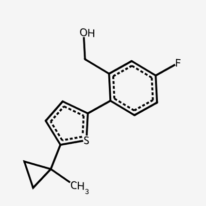 CC1(c2ccc(-c3ccc(F)cc3CO)s2)CC1